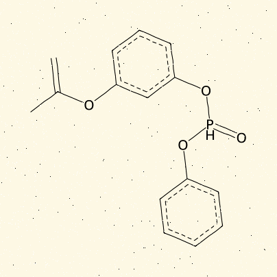 C=C(C)Oc1cccc(O[PH](=O)Oc2ccccc2)c1